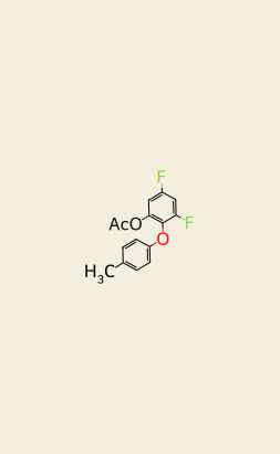 CC(=O)Oc1cc(F)cc(F)c1Oc1ccc(C)cc1